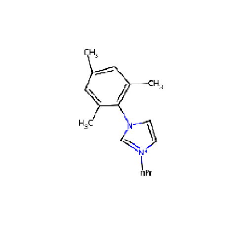 CCC[n+]1ccn(-c2c(C)cc(C)cc2C)c1